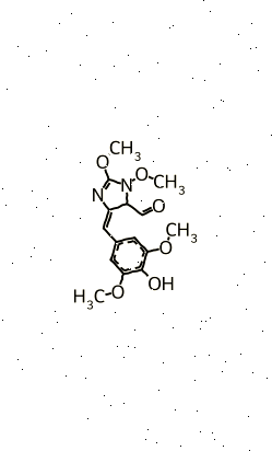 COC1=NC(=Cc2cc(OC)c(O)c(OC)c2)C(C=O)N1OC